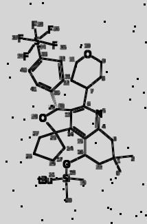 CC1(C)Cc2nc(C3CCOCC3)c3c(c2C(O[Si](C)(C)C(C)(C)C)C1)C1(CCCC1)O[C@@H]3c1ccc(S(F)(F)(F)(F)F)cc1